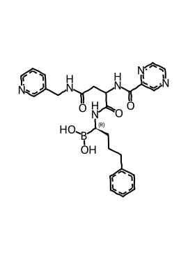 O=C(CC(NC(=O)c1cnccn1)C(=O)N[C@@H](CCCc1ccccc1)B(O)O)NCc1cccnc1